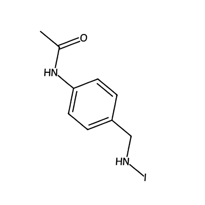 CC(=O)Nc1ccc(CNI)cc1